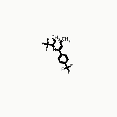 C=C/C=C(\N=C(/C=C)C(F)(F)F)c1ccc(C(F)(F)F)cc1